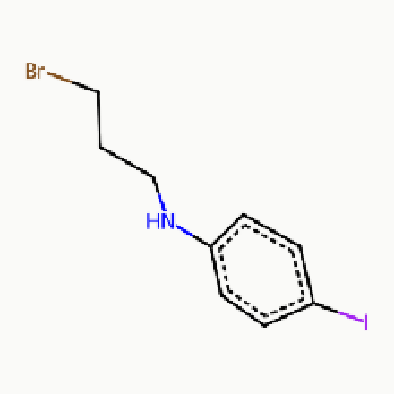 BrCCCNc1ccc(I)cc1